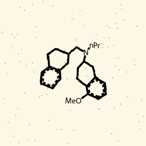 CCCN(CC1CCc2ccccc2C1)C1CCc2c(cccc2OC)C1